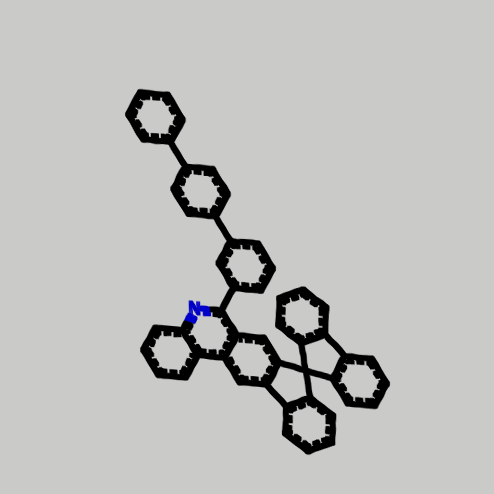 c1ccc(-c2ccc(-c3cccc(-c4nc5ccccc5c5cc6c(cc45)C4(c5ccccc5-c5ccccc54)c4ccccc4-6)c3)cc2)cc1